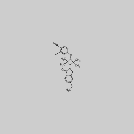 CCc1ccc2c(c1)CN([C@H]1C(C)(C)[C@H](Oc3ccc(C#N)c(Cl)c3)C1(C)C)C2=O